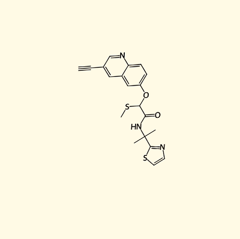 C#Cc1cnc2ccc(OC(SC)C(=O)NC(C)(C)c3nccs3)cc2c1